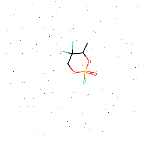 CC1OP(=O)(Cl)OCC1(F)F